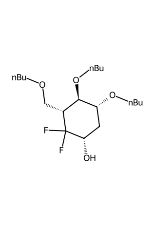 CCCCOC[C@@H]1[C@@H](OCCCC)[C@H](OCCCC)C[C@H](O)C1(F)F